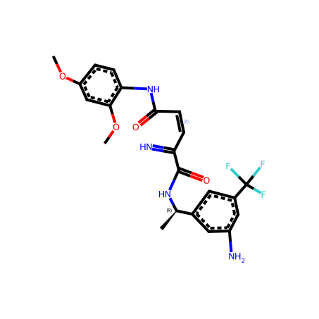 COc1ccc(NC(=O)/C=C\C(=N)C(=O)N[C@H](C)c2cc(N)cc(C(F)(F)F)c2)c(OC)c1